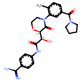 Cc1ccc(C(=O)N2CCCC2)cc1N1CCO[C@H]([C@@H](O)C(=O)Nc2ccc(C(=N)N)cc2)C1=O